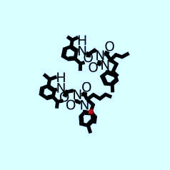 CCCC1(CCC)C(=O)N(CC(=O)Nc2c(C(C)C)cccc2C(C)C)C(=O)N1c1ccc(C)cc1.CCCCC1(CCCC)C(=O)N(CC(=O)Nc2c(C(C)C)cccc2C(C)C)C(=O)N1c1ccc(C)cc1